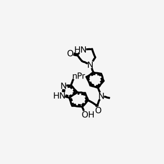 CCCc1n[nH]c2cc(O)c(C(=O)N(C)c3ccc(N4CCNC(=O)C4)cc3)cc12